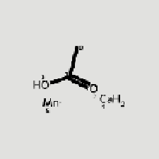 CC(=O)O.[CaH2].[Mn]